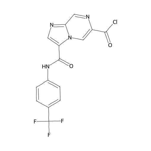 O=C(Cl)c1cn2c(C(=O)Nc3ccc(C(F)(F)F)cc3)cnc2cn1